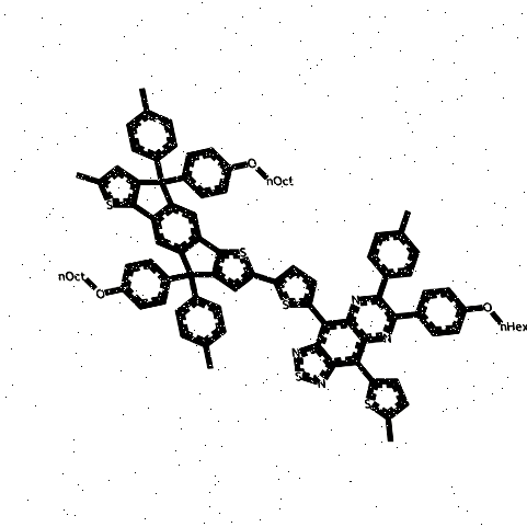 CCCCCCCCOc1ccc(C2(c3ccc(C)cc3)c3cc4c(cc3-c3sc(C)cc32)C(c2ccc(C)cc2)(c2ccc(OCCCCCCCC)cc2)c2cc(-c3ccc(-c5c6nsnc6c(-c6ccc(C)s6)c6nc(-c7ccc(OCCCCCC)cc7)c(-c7ccc(C)cc7)nc56)s3)sc2-4)cc1